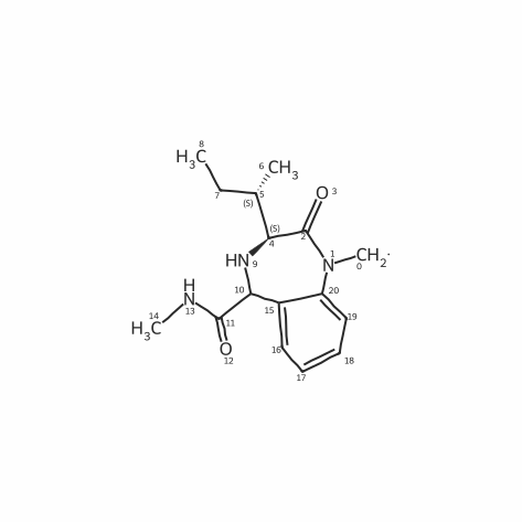 [CH2]N1C(=O)[C@H]([C@@H](C)CC)NC(C(=O)NC)c2ccccc21